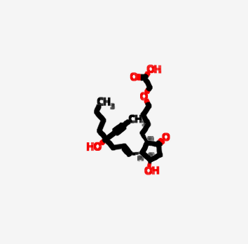 CC#CC(O)(CC=C[C@H]1[C@H](O)CC(=O)[C@@H]1CCCCOCC(=O)O)CCCC